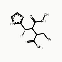 CC[C@H](c1ncc[nH]1)C(C(=O)NO)C(CC(C)C)C(N)=O